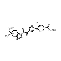 COC[C@]1(C)CCc2c(C(=O)Nc3cnn([C@@H]4CCN(C(=O)OC(C)(C)C)C[C@H]4F)c3)n[nH]c2C1